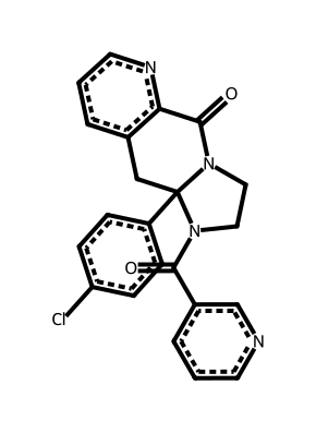 O=C(c1cccnc1)N1CCN2C(=O)c3ncccc3CC12c1ccc(Cl)cc1